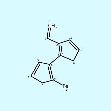 C=CC1=C(C2=[C]([Fe])CC=C2)CC=C1